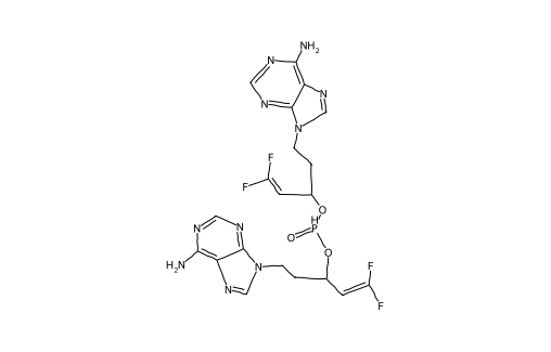 Nc1ncnc2c1ncn2CCC(C=C(F)F)O[PH](=O)OC(C=C(F)F)CCn1cnc2c(N)ncnc21